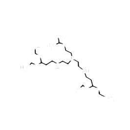 CCOC(CCPCCN(CCOC(C)C)CCPCCC(OCC)OCC)OCC